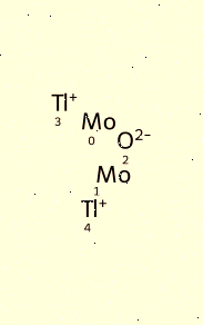 [Mo].[Mo].[O-2].[Tl+].[Tl+]